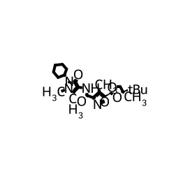 Cc1c(C(=O)Nc2c(C)n(C)n(C3CCCCC3)c2=O)noc1[C@H]1OC[C@@](C)(C(C)(C)C)O1